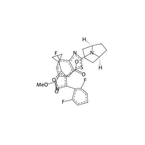 COC(=O)c1cc(F)c2nc(N3[C@@H]4CC[C@H]3C[C@H](OC(=O)c3c(-c5c(F)cccc5F)noc3C3CC3)C4)sc2c1